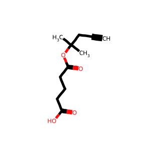 C#CCC(C)(C)OC(=O)CCCC(=O)O